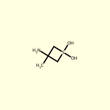 CC1(N)CS(O)(O)C1